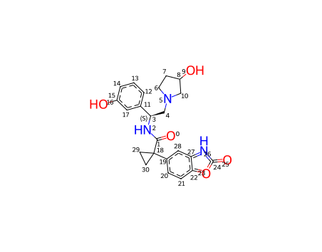 O=C(N[C@H](CN1CCC(O)C1)c1cccc(O)c1)C1(c2ccc3oc(=O)[nH]c3c2)CC1